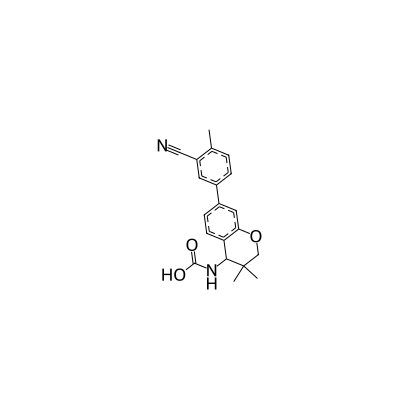 Cc1ccc(-c2ccc3c(c2)OCC(C)(C)C3NC(=O)O)cc1C#N